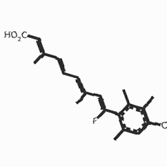 COc1cc(C)c(/C(F)=C/C(C)=C/C=C/C(C)=C/C(=O)O)c(C)c1C